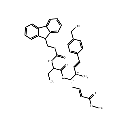 C[C@H](C=Cc1ccc(CO)cc1)[C@H](CC=CC(=O)OC(C)(C)C)OC(=O)C(CC(C)(C)C)NC(=O)OCC1c2ccccc2-c2ccccc21